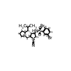 CC(C)CC1CCCN1C[C@H]1C[C@@H](NS(=O)(=O)c2cc(Br)ccc2Br)CN1C#N